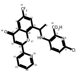 CC(Nc1ccc(Cl)nc1C(=O)O)c1cc(C(F)(F)F)cc2c(=O)cc(-c3ccccn3)oc12